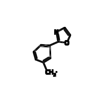 [CH2]c1cccc(-c2ncco2)c1